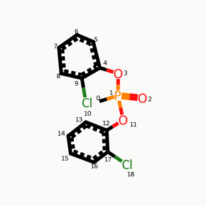 CP(=O)(Oc1ccccc1Cl)Oc1ccccc1Cl